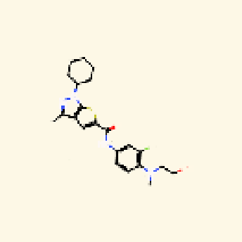 Cc1nn(C2CCCCC2)c2sc(C(=O)Nc3ccc(N(C)CCO)c(F)c3)cc12.Cl